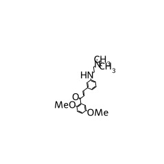 COc1ccc(OC)c(C(=O)/C=C/c2cccc(NCCN(C)C)c2)c1